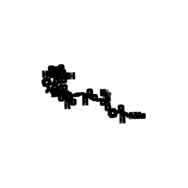 CNCCNC(=O)c1cccc(OCC(N=[N+]=[N-])OCCOCC(=O)NCC#Cc2cn([C@H]3CC(OC(=O)c4ccccc4C(C)SSC)[C@@H](COP(=O)(O)OP(=O)(O)OP(=O)(O)O)O3)c(=O)[nH]c2=O)c1